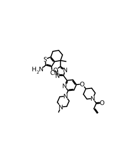 C=CC(=O)N1CCC(Oc2cc(-c3noc(C4(C)CCCc5sc(N)c(C#N)c54)n3)nc(N3CCN(C)CC3)c2)CC1